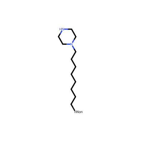 CCCCCCCCCCCCCCCCCN1CCNCC1